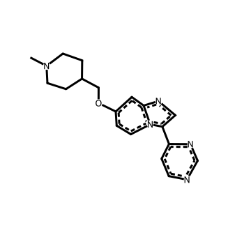 CN1CCC(COc2ccn3c(-c4ccncn4)cnc3c2)CC1